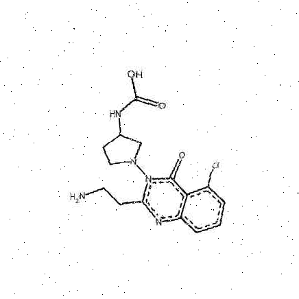 NCCc1nc2cccc(Cl)c2c(=O)n1N1CCC(NC(=O)O)C1